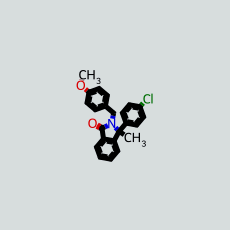 COc1ccc(CN2C(=O)c3ccccc3C2(C)c2ccc(Cl)cc2)cc1